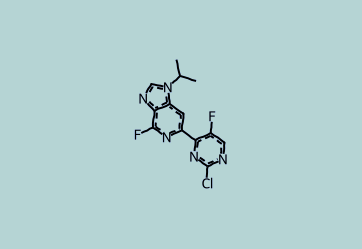 CC(C)n1cnc2c(F)nc(-c3nc(Cl)ncc3F)cc21